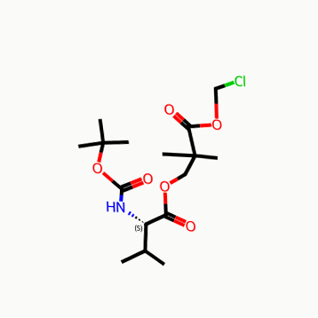 CC(C)[C@H](NC(=O)OC(C)(C)C)C(=O)OCC(C)(C)C(=O)OCCl